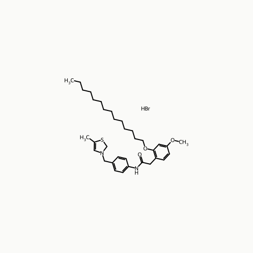 Br.CCCCCCCCCCCCCCOc1cc(OC)ccc1CC(=O)Nc1ccc(CN2C=C(C)SC2)cc1